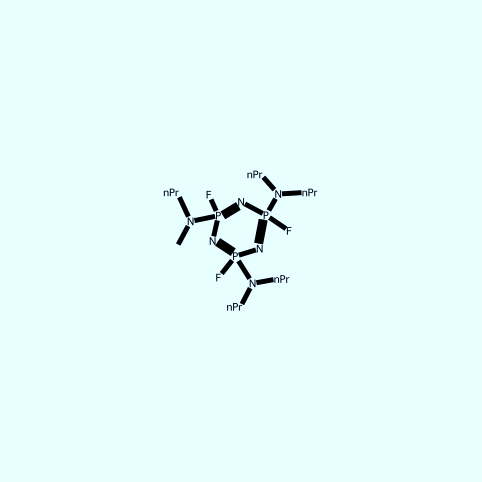 CCCN(C)P1(F)=NP(F)(N(CCC)CCC)=NP(F)(N(CCC)CCC)=N1